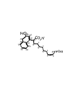 CCCCCCCC/C=C\CCCCCCC(C(=O)O)c1cc(O)cc2ccccc12